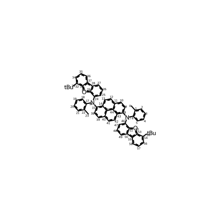 Cc1ccccc1N(c1ccc2ccc3c(N(c4ccccc4C)c4cccc5c4oc4c(C(C)(C)C)cccc45)ccc4ccc1c2c43)c1cccc2c1oc1c(C(C)(C)C)cccc12